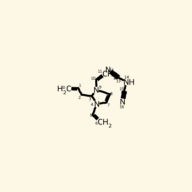 C=CCC1N(C=C)C=CN1C=C.N#CNC#N